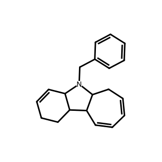 C1=CCC2C(C=C1)C1CCC=CC1N2Cc1ccccc1